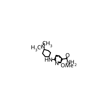 COc1nc(N[C@H]2CC[C@H](N(C)C)CC2)ccc1C(N)=O